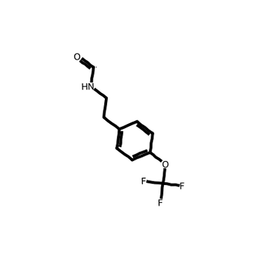 O=[C]NCCc1ccc(OC(F)(F)F)cc1